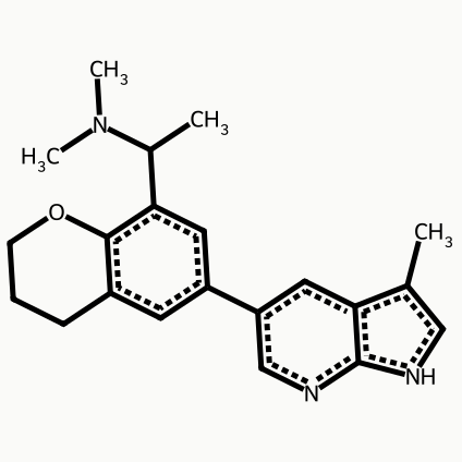 Cc1c[nH]c2ncc(-c3cc4c(c(C(C)N(C)C)c3)OCCC4)cc12